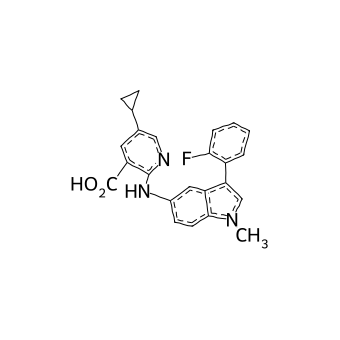 Cn1cc(-c2ccccc2F)c2cc(Nc3ncc(C4CC4)cc3C(=O)O)ccc21